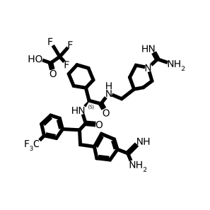 N=C(N)c1ccc(CC(C(=O)N[C@H](C(=O)NCC2CCN(C(=N)N)CC2)C2CCCCC2)c2cccc(C(F)(F)F)c2)cc1.O=C(O)C(F)(F)F